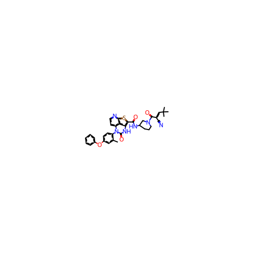 Cc1cc(Oc2ccccc2)ccc1N1C(=O)Nc2c(C(=O)NC3CCCN(C(=O)/C(C#N)=C/C(C)(C)C)C3)sc3nccc1c23